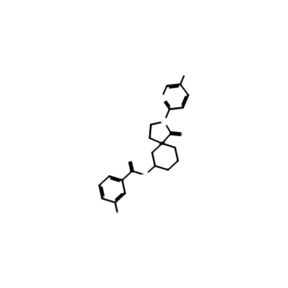 O=C(NC1CCCC2(CCN(c3ccc(F)cn3)C2=O)C1)c1cccc(F)c1